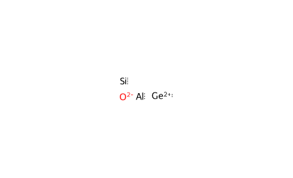 [Al].[Ge+2].[O-2].[Si]